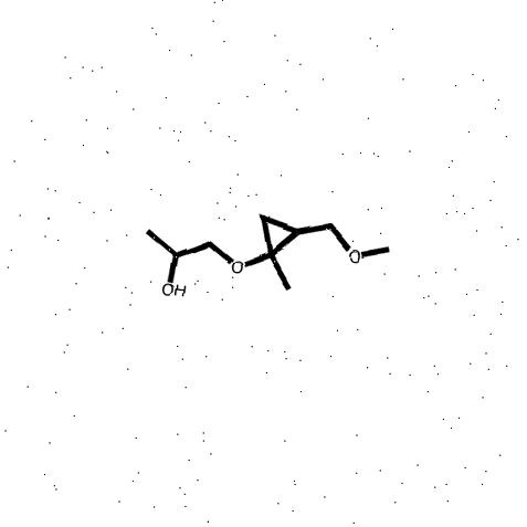 COCC1CC1(C)OCC(C)O